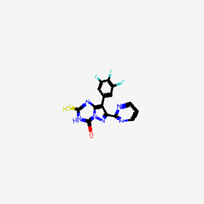 O=c1[nH]c(S)nc2c(-c3cc(F)c(F)c(F)c3)c(-c3ncccn3)nn12